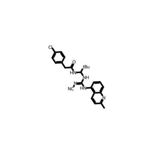 Cc1ccc2c(N/C(=N\C#N)NC(NC(=O)Cc3ccc(Cl)cc3)C(C)(C)C)cccc2n1